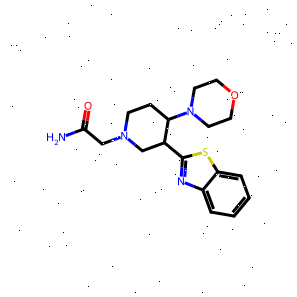 NC(=O)CN1CCC(N2CCOCC2)C(c2nc3ccccc3s2)C1